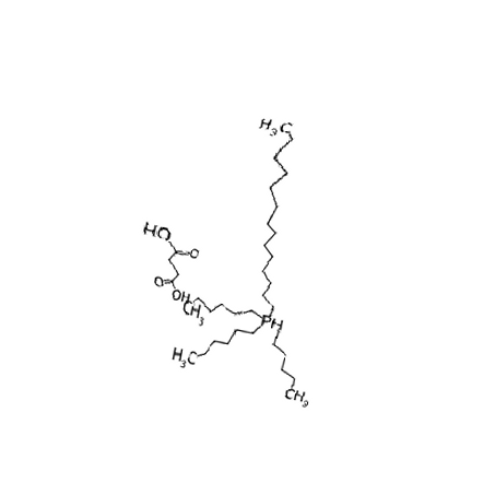 CCCCCCCCCCCCCC[PH](CCCCCC)(CCCCCC)CCCCCC.O=C(O)CCC(=O)O